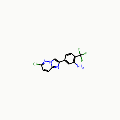 Nc1cc(-c2cn3nc(Cl)ccc3n2)ccc1C(F)(F)F